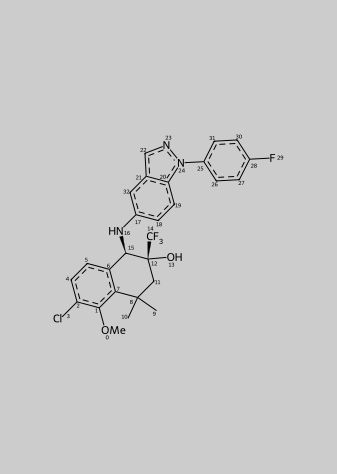 COc1c(Cl)ccc2c1C(C)(C)C[C@](O)(C(F)(F)F)[C@@H]2Nc1ccc2c(cnn2-c2ccc(F)cc2)c1